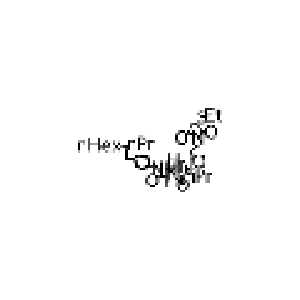 CCCCCCC(CCC)Cc1ccc(NC(=O)[C@H](C)NC(=O)C(NC(=O)CCN2C(=O)CC(SCC)C2=O)C(C)C)cc1